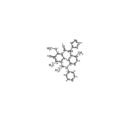 COc1c(C(=O)Nc2cnoc2)nc(N(C)C(c2ccccc2)c2ccc(C)nc2)n(C)c1=O